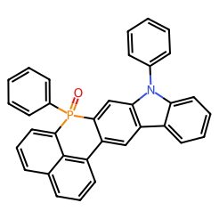 O=P1(c2ccccc2)c2cc3c(cc2-c2cccc4cccc1c24)c1ccccc1n3-c1ccccc1